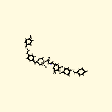 Cc1ccc(COc2ccc(Oc3c(C)cc(/C=C/C(=O)N4CCN(Cc5ccc(CCOc6ccc(F)cc6)cc5)C[C@H]4C)cc3Cl)nc2)cc1